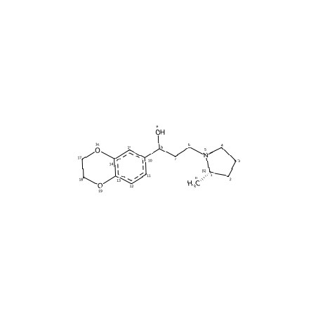 C[C@H]1CCCN1CCC(O)c1ccc2c(c1)OCCO2